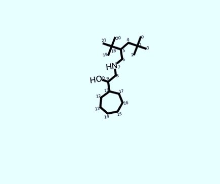 CC(C)(C)CC(CNCC(O)C1CCCCCC1)C(C)(C)C